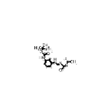 CC(F)/N=C(Cl)\N=C\Nc1cccc(NC(=O)OC(C)(C)C)c1